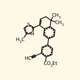 C#Cc1cc(-c2ccc3c(c2)C(c2nc(C)cs2)=CCC3(C)C)ccc1C(=O)OCC